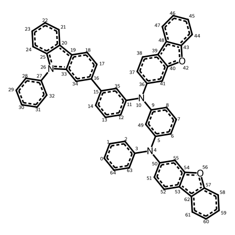 c1ccc(N(c2cccc(N(c3cccc(-c4ccc5c6ccccc6n(-c6ccccc6)c5c4)c3)c3ccc4c(c3)oc3ccccc34)c2)c2ccc3c(c2)oc2ccccc23)cc1